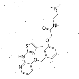 Cc1csc(Nc2ncccc2OCc2cccc(OCC(=O)NCCN(C)C)c2)n1